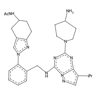 CC(=O)NC1CCc2nn(-c3ccccc3CNc3nc(N4CCC(N)CC4)nc4c(C(C)C)cnn34)cc2C1